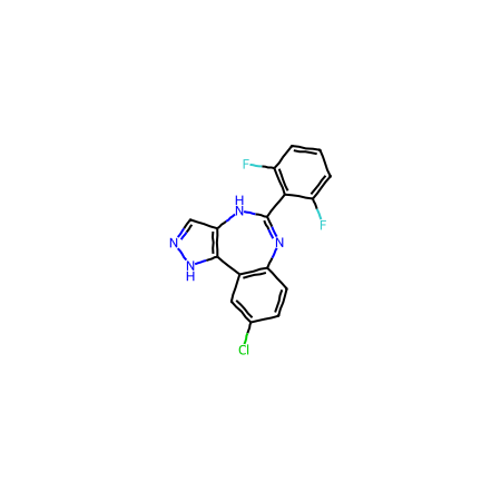 Fc1cccc(F)c1C1=Nc2ccc(Cl)cc2-c2[nH]ncc2N1